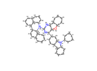 c1ccc(-n2c3ccccc3c3ccc(-c4nc(N5c6c(ccc7ccccc67)-c6cccc7cccc5c67)nc5c4oc4ccccc45)cc32)cc1